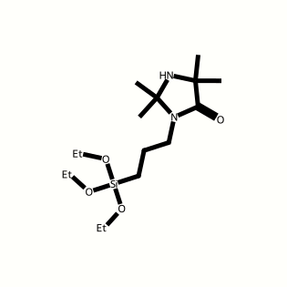 CCO[Si](CCCN1C(=O)C(C)(C)NC1(C)C)(OCC)OCC